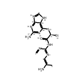 C=N/C(=N\C=C(/C)N)NC(=O)[C@H](CC)Sc1nc(N)nc2nc[nH]c12